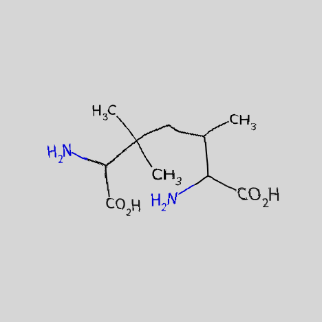 CC(CC(C)(C)C(N)C(=O)O)C(N)C(=O)O